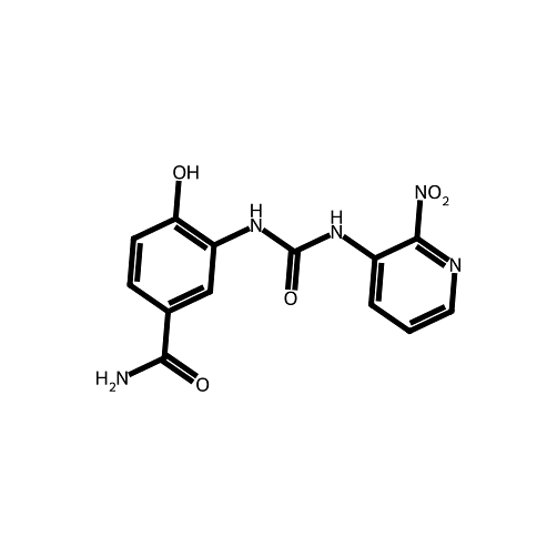 NC(=O)c1ccc(O)c(NC(=O)Nc2cccnc2[N+](=O)[O-])c1